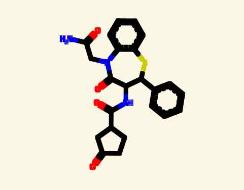 NC(=O)CN1C(=O)C(NC(=O)C2CCC(=O)C2)C(c2ccccc2)Sc2ccccc21